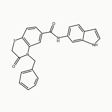 O=C(Nc1ccc2cc[nH]c2c1)c1ccc2c(c1)N(Cc1ccccc1)C(=O)CS2